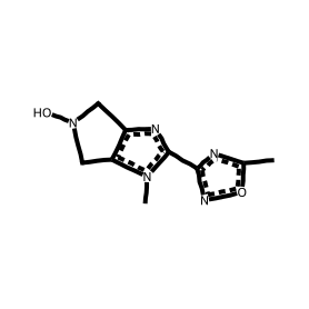 Cc1nc(-c2nc3c(n2C)CN(O)C3)no1